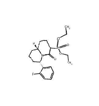 CCOP(=O)(OCC)C1CC[C@H]2CCC[C@@H](c3ccccc3F)N2C1=O